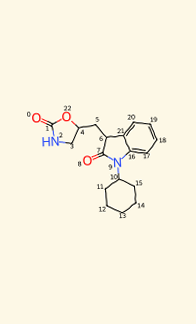 O=C1NCC(CC2C(=O)N(C3CCCCC3)c3ccccc32)O1